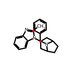 Cc1nc2ccccc2n1C1CC2CCC(C1)N2Cc1ccccc1